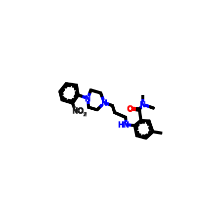 Cc1ccc(NCCCN2CCN(c3ccccc3[N+](=O)[O-])CC2)c(C(=O)N(C)C)c1